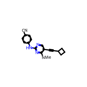 CNc1nc(Nc2ccc(C#N)cc2)ncc1C#CC1CCC1